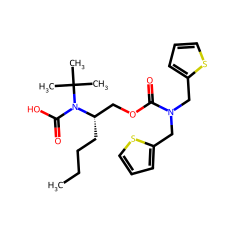 CCCC[C@@H](COC(=O)N(Cc1cccs1)Cc1cccs1)N(C(=O)O)C(C)(C)C